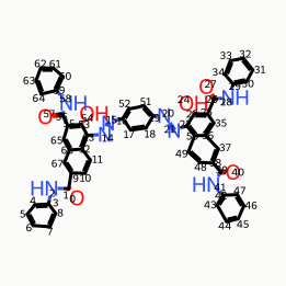 O=C(Nc1ccccc1)c1ccc2c(N=Nc3ccc(N=Nc4c(O)c(C(=O)Nc5ccccc5)cc5cc(C(=O)Nc6ccccc6)ccc45)cc3)c(O)c(C(=O)Nc3ccccc3)cc2c1